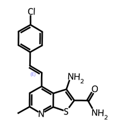 Cc1cc(/C=C/c2ccc(Cl)cc2)c2c(N)c(C(N)=O)sc2n1